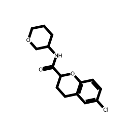 O=C(NC1CCCOC1)C1CCc2cc(Cl)ccc2O1